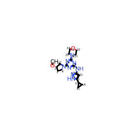 CO[C@H]1CCN(c2nc(Nc3cc(C4CC4)[nH]n3)nc(N3CCOCC3)n2)C1